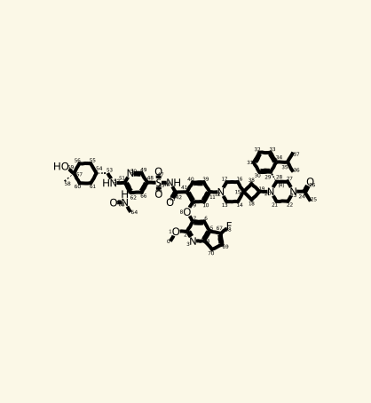 COc1nc2c(cc1Oc1cc(N3CCC4(CC3)CC(N3CCN(C(C)=O)C[C@H]3c3ccccc3C(C)C)C4)ccc1C(=O)NS(=O)(=O)c1cnc(NC[C@H]3CC[C@](C)(O)CC3)c([NH+](C)[O-])c1)C(F)=CC2